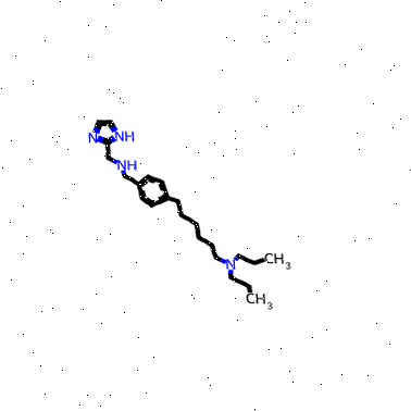 CCCN(CCC)CCCCCCc1ccc(CNCc2ncc[nH]2)cc1